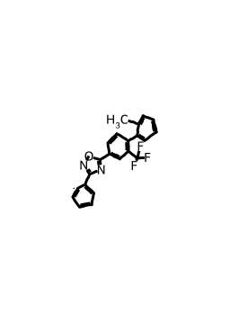 Cc1ccccc1-c1ccc(-c2nc(-c3[c]cccc3)no2)cc1C(F)(F)F